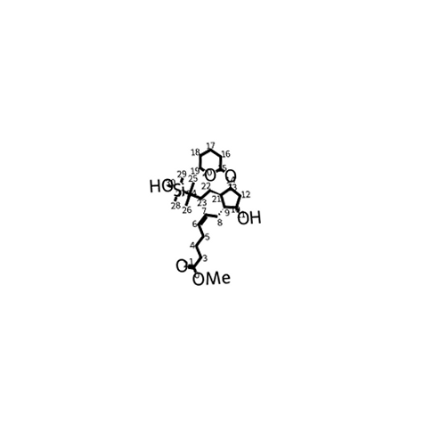 COC(=O)CCC/C=C\C[C@H]1C(O)C[C@@H](OC2CCCCO2)[C@@H]1CCC(C)(C)[Si](C)(C)O